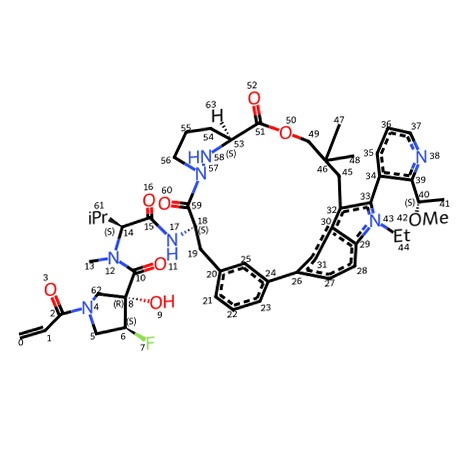 C=CC(=O)N1C[C@H](F)[C@](O)(C(=O)N(C)[C@H](C(=O)N[C@H]2Cc3cccc(c3)-c3ccc4c(c3)c(c(-c3cccnc3[C@H](C)OC)n4CC)CC(C)(C)COC(=O)[C@@H]3CCCN(N3)C2=O)C(C)C)C1